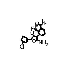 CN(C)C(=O)c1cccc(C2=C(N)OC(c3cccc(Cl)c3)C2=O)c1C(F)(F)F